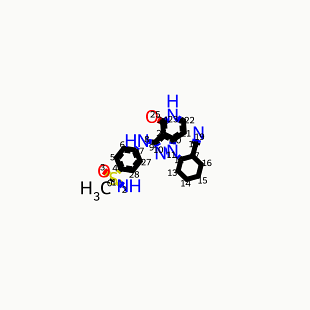 CS(=N)(=O)c1ccc(Nc2nn(C3CCCCC3C#N)c3cc[nH]c(=O)c23)cc1